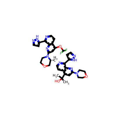 CC(C)(O)c1cc(N2CCOCC2)nc2c(-c3ccn[nH]3)nccc12.C[C@@H]1COCCN1c1cc(OC(F)F)c2ccnc(-c3ccn[nH]3)c2n1